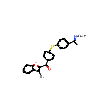 CCc1c(C(=O)c2ccc(Sc3ccc(/C(C)=N/OC(C)=O)cc3)cc2)oc2ccccc12